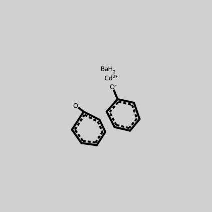 [BaH2].[Cd+2].[O-]c1ccccc1.[O-]c1ccccc1